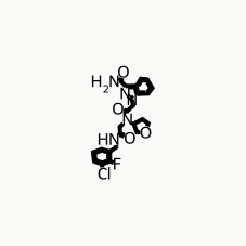 NC(=O)c1nn(CC(=O)N(CC(=O)NCc2cccc(Cl)c2F)[C@H]2CCOC2)c2ccccc12